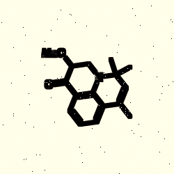 COC1CN2c3c(cccc3C(C)=CC2(C)C)C1=O